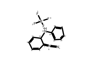 F[B-](F)(F)F.[N-]=[N+]=C1C=CC=CC1Nc1ccccc1